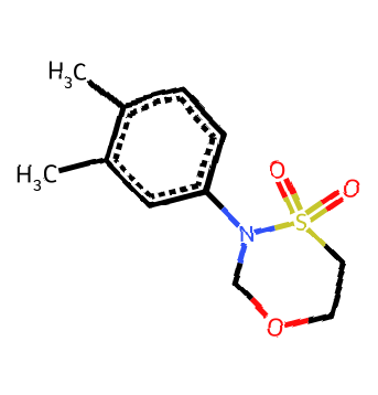 Cc1ccc(N2COCCS2(=O)=O)cc1C